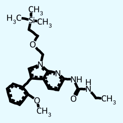 CCNC(=O)Nc1ccc2c(-c3ccccc3OC)cn(COCC[Si](C)(C)C)c2n1